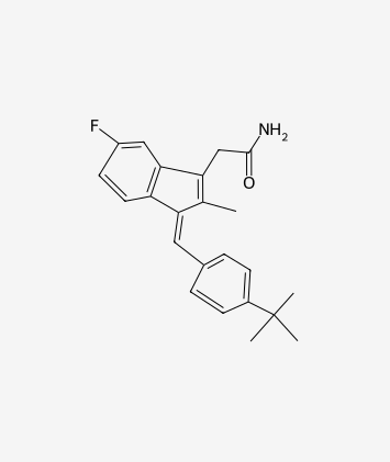 CC1=C(CC(N)=O)c2cc(F)ccc2C1=Cc1ccc(C(C)(C)C)cc1